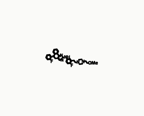 COCCN1CCN(CCc2cc(Nc3ncc4c(n3)-c3ccccc3[C@H](c3ccccc3F)C4)ccc2F)CC1